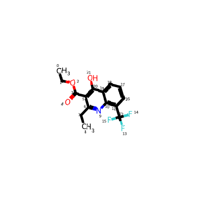 CCOC(=O)c1c(CC)nc2c(C(F)(F)F)cccc2c1O